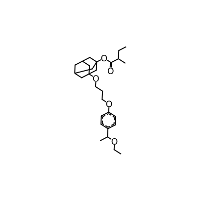 CCOC(C)c1ccc(OCCCOC23CC4CC(C2)CC(OC(=O)C(C)CC)(C4)C3)cc1